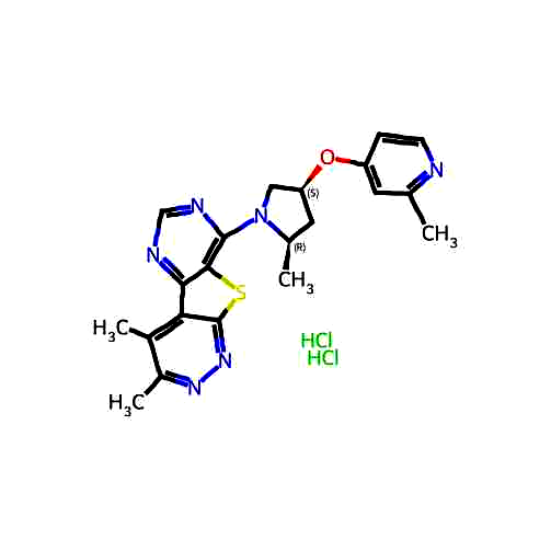 Cc1cc(O[C@H]2C[C@@H](C)N(c3ncnc4c3sc3nnc(C)c(C)c34)C2)ccn1.Cl.Cl